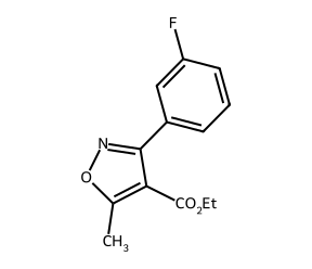 CCOC(=O)c1c(-c2cccc(F)c2)noc1C